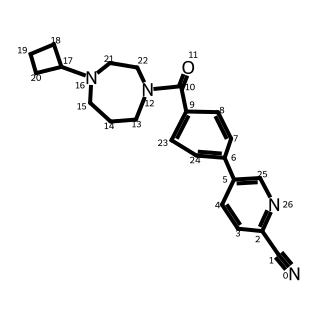 N#Cc1ccc(-c2ccc(C(=O)N3CCCN(C4CCC4)CC3)cc2)cn1